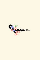 CCCCCCCCCCCCCCCCCC(=O)N(CC(O)O)C(=O)C[n+]1ccccc1.[Cl-]